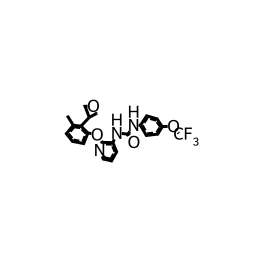 Cc1cccc(Oc2ncccc2NC(=O)Nc2ccc(OC(F)(F)F)cc2)c1C1COC1